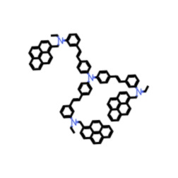 CCN(Cc1ccc2ccc3cccc4ccc1c2c34)c1cccc(C=Cc2ccc(N(c3ccc(C=Cc4cccc(N(CC)Cc5ccc6ccc7cccc8ccc5c6c78)c4)cc3)c3ccc(C=Cc4cccc(N(CC)Cc5ccc6ccc7cccc8ccc5c6c78)c4)cc3)cc2)c1